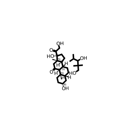 CC(C)C(O)C(C)(C)CO.C[C@]12CC[C@@H](O)C[C@H]1CC[C@@H]1[C@@H]2C(=O)C[C@@]2(C)[C@H]1CC[C@]2(O)C(=O)CO